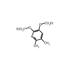 CCOC(=O)Oc1cc(C)c(C)nc1OC(=O)OCC